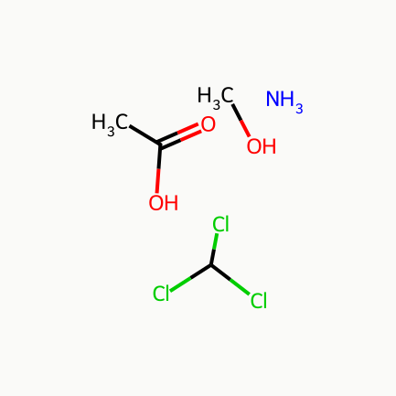 CC(=O)O.CO.ClC(Cl)Cl.N